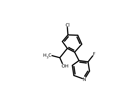 CC(O)c1cc(Cl)ccc1-c1ccncc1F